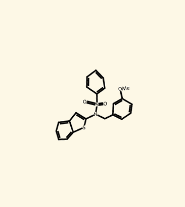 COc1cccc(CN(c2cc3ccccc3s2)S(=O)(=O)c2ccccc2)c1